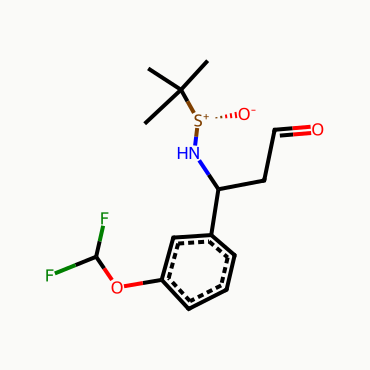 CC(C)(C)[S@+]([O-])NC(CC=O)c1cccc(OC(F)F)c1